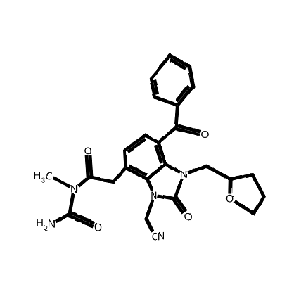 CN(C(N)=O)C(=O)Cc1ccc(C(=O)c2ccccc2)c2c1n(CC#N)c(=O)n2CC1CCCO1